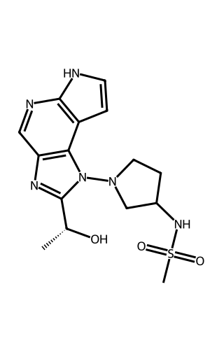 C[C@@H](O)c1nc2cnc3[nH]ccc3c2n1N1CCC(NS(C)(=O)=O)C1